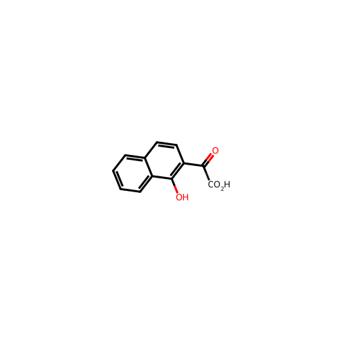 O=C(O)C(=O)c1ccc2ccccc2c1O